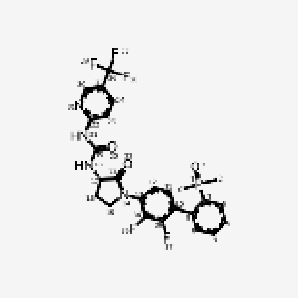 CP(C)(=O)c1ccccc1-c1ccc(N2CC[C@@H](NC(=O)Nc3ccc(C(F)(F)F)cn3)C2=O)c(F)c1F